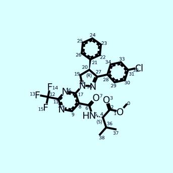 COC(=O)[C@@H](NC(=O)c1cnc(C(F)(F)F)nc1N1C[C@@H](c2ccccc2)C(c2ccc(Cl)cc2)=N1)C(C)C